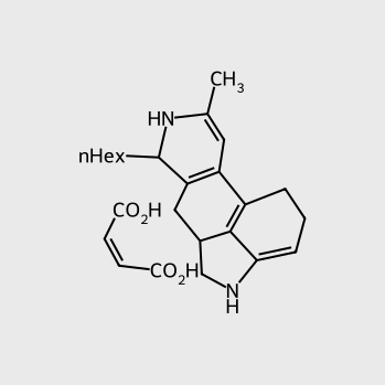 CCCCCCC1NC(C)=CC2=C1CC1CNC3=CCCC2=C31.O=C(O)/C=C\C(=O)O